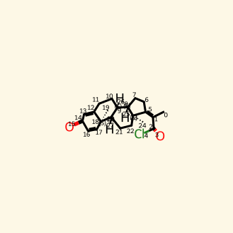 CC(C(=O)Cl)=C1CC[C@H]2[C@@H]3CCC4=CC(=O)C=C[C@]4(C)[C@H]3CC[C@]12C